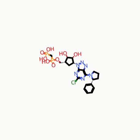 O=P(O)(O)CP(=O)(O)OC[C@H]1C[C@@H](n2nnc3c(N4CCC[C@@H]4c4ccccc4)nc(Cl)nc32)[C@H](O)[C@@H]1O